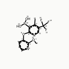 COc1ncccc1Oc1ncc(C(F)(F)F)c(C)c1B(O)O